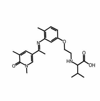 C/C(=N\c1cc(OCCNC(C(=O)O)C(C)C)ccc1C)c1cc(C)c(=O)n(C)c1